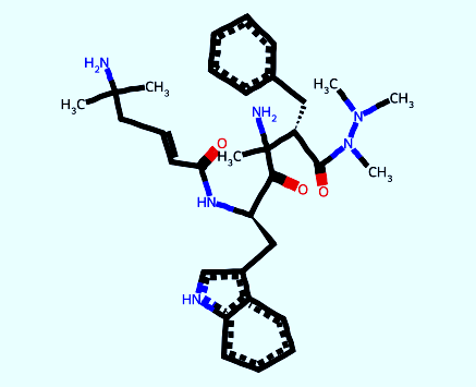 CN(C)N(C)C(=O)[C@@H](Cc1ccccc1)C(C)(N)C(=O)[C@@H](Cc1c[nH]c2ccccc12)NC(=O)/C=C/CC(C)(C)N